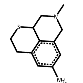 CN1Cc2cc(N)cc3c2C(C1)SCC3